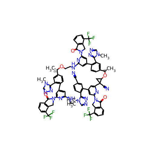 CCNc1cc(-c2ccc([C@H](C)OCCNc3cc(-c4ccc([C@@H](C)OC5CC5(C#N)c5cc(-c6cc(C#N)ccc6-c6nncn6C)cc(N6Cc7c(cccc7C(F)(F)F)C6=O)n5)cc4-c4nncn4C)cc(N4Cc5c(cccc5C(F)(F)F)C4=O)n3)cc2-c2nncn2C)cc(N2Cc3c(cccc3C(F)(F)F)C2=O)n1